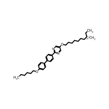 CCCCCCOc1ccc(-c2ccc(-c3ncc(OCCCCCCC[C@@H](C)CC)cn3)cc2)cc1